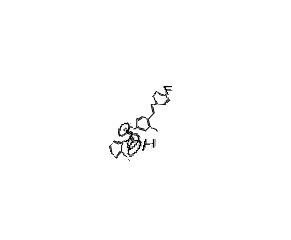 Cc1cc(S(=O)(=O)c2ccccc2[C@H](C)O)ccc1/C=C/c1ccc(F)cc1